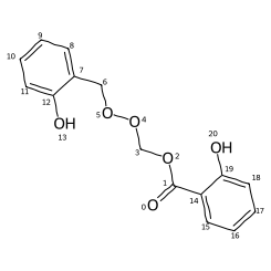 O=C(OCOOCc1ccccc1O)c1ccccc1O